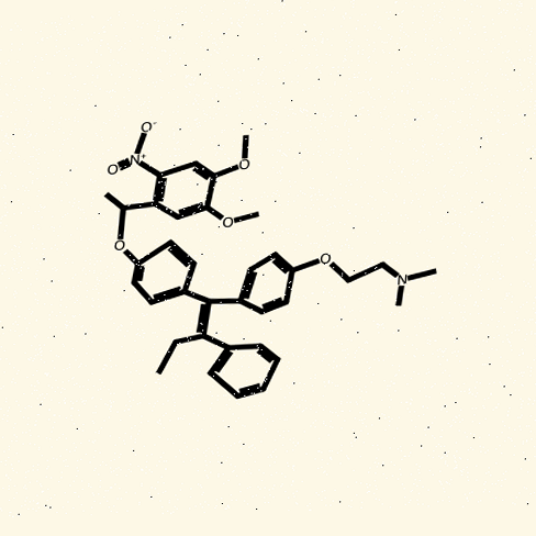 CC/C(=C(/c1ccc(OCCN(C)C)cc1)c1ccc(OC(C)c2cc(OC)c(OC)cc2[N+](=O)[O-])cc1)c1ccccc1